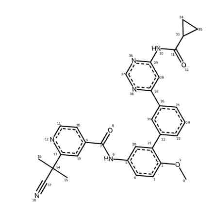 COc1ccc(NC(=O)c2ccnc(C(C)(C)C#N)c2)cc1-c1cccc(-c2cc(NC(=O)C3CC3)ncn2)c1